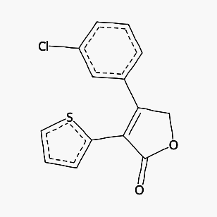 O=C1OCC(c2cccc(Cl)c2)=C1c1cccs1